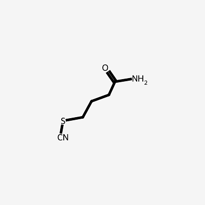 N#CSCCCC(N)=O